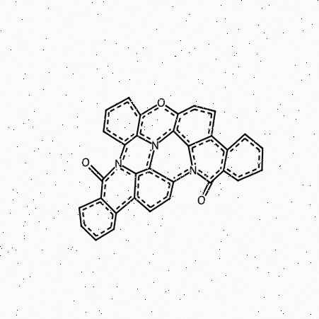 O=c1c2ccccc2c2ccc3oc4cccc5c4n4c3c2n1c1ccc2c3ccccc3c(=O)n5c2c14